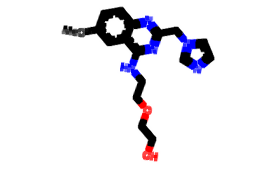 COc1ccc2nc(Cn3ccnc3)nc(NCCOCCO)c2c1